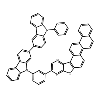 c1ccc(-n2c3ccccc3c3cc(-c4ccc5c6ccccc6n(-c6cccc(-c7cnc8c(n7)oc7ccc9c%10ccc%11ccccc%11c%10ccc9c78)c6)c5c4)ccc32)cc1